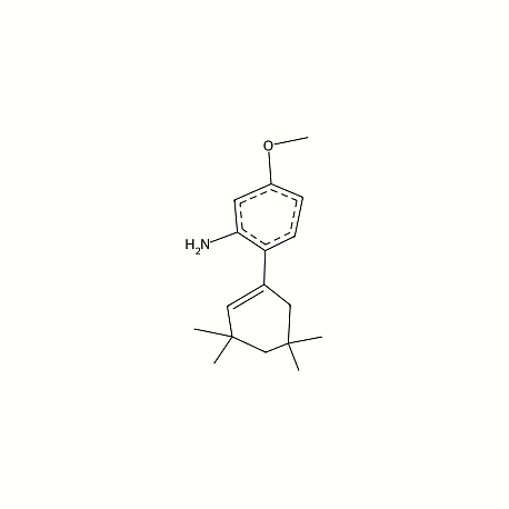 COc1ccc(C2=CC(C)(C)CC(C)(C)C2)c(N)c1